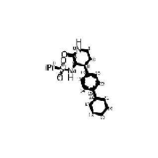 CC(C)S(=O)(=O)NC1C(=O)NCCC1c1ccc(C2CCCCC2)cc1